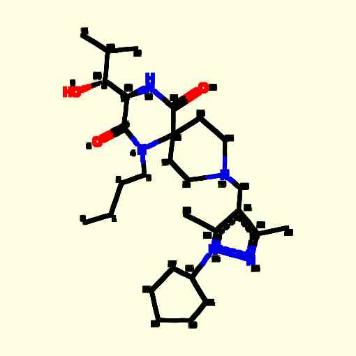 CCCCN1C(=O)[C@@H]([C@H](O)C(C)C)NC(=O)C12CCN(Cc1c(C)nn(C3CCCCC3)c1C)CC2